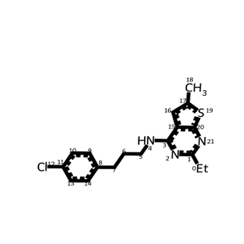 CCc1nc(NCCCc2ccc(Cl)cc2)c2cc(C)sc2n1